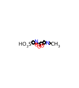 CC1CN(c2ccc3cc(-c4nc5ccc(S(=O)(=O)O)cc5o4)c(=O)oc3c2)C1